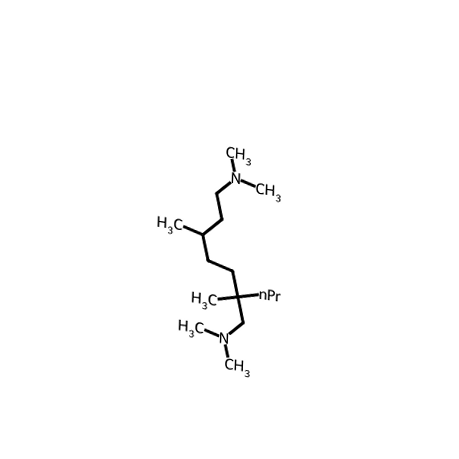 CCCC(C)(CCC(C)CCN(C)C)CN(C)C